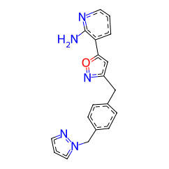 Nc1ncccc1-c1cc(Cc2ccc(Cn3cccn3)cc2)no1